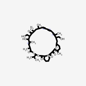 C/C1=C/C=C/C=C/C(C)CC(C)C(=O)C(CO)C(O)/C(C)=C/C(C)C(=O)CC(C(C)C)OC(=O)C2CCCCN2C(=O)C(=O)C2(O)OC(CCC2C)CC1CO